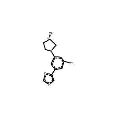 O[C@@H]1CCN(c2cc(-c3cnco3)cc(C(F)(F)F)c2)C1